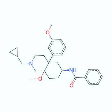 COc1cccc(C23CCN(CC4CC4)CC2(OC)CC[C@H](NC(=O)c2ccccc2)C3)c1